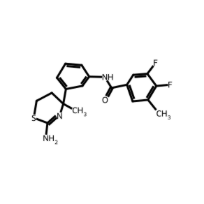 Cc1cc(C(=O)Nc2cccc(C3(C)CCSC(N)=N3)c2)cc(F)c1F